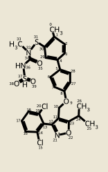 Cc1ccc(-c2ccc(OCc3c(-c4c(Cl)cccc4Cl)noc3C(C)C)cc2)cc1SN(C)C(=O)N[SH](=O)=O